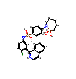 O=S(=O)(Nc1ccc(Cl)c(-c2nccc3ccccc23)c1)c1ccc(N2CCCCCS2(=O)=O)cc1